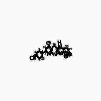 CCCCCc1nc(-c2ccc(Cl)cc2)cc(=O)n1CC(=O)NC1CCS(=O)(=O)C1